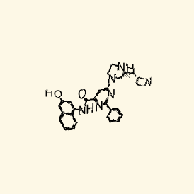 N#CC[C@H]1CN(c2cc(C(=O)Nc3cc(O)cc4ccccc34)nc(-c3ccccc3)n2)CCN1